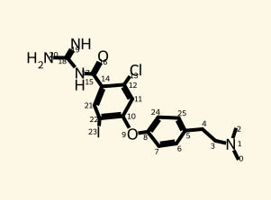 CN(C)CCc1ccc(Oc2cc(Cl)c(C(=O)NC(=N)N)cc2I)cc1